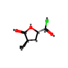 CC(C)[C@@H]1C[C@@H](C(=O)Cl)OC1=O